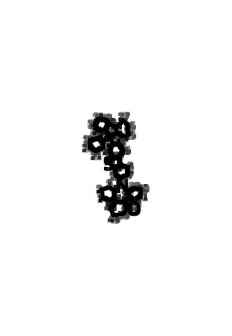 C1=CCCC(N(c2ccc3c(c2)sc2cc(C4(c5ccccc5)C5=CC=CCC5c5ccccc54)ccc23)c2cccc3oc4c(c23)C=CCC4)=C1